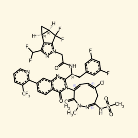 C=C1/C(n2c([C@H](Cc3cc(F)cc(F)c3)NC(=O)Cn3nc(C(F)F)c4c3C(F)(F)[C@@H]3C[C@H]43)nc3cc(-c4ncccc4C(F)(F)F)ccc3c2=O)=C\C=C(\Cl)C/C(NS(C)(=O)=O)=N\N1C